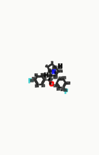 CN1[C@H]2CC[C@@H]1[C@H](C(=O)c1ccc(F)cc1)[C@@H](c1ccc(F)cc1)C2